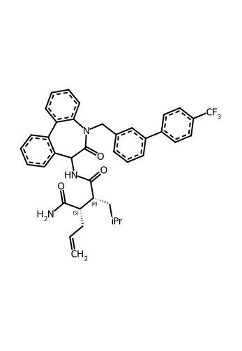 C=CC[C@H](C(N)=O)[C@@H](CC(C)C)C(=O)NC1C(=O)N(Cc2cccc(-c3ccc(C(F)(F)F)cc3)c2)c2ccccc2-c2ccccc21